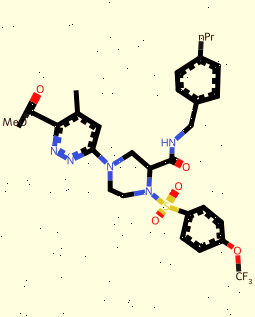 CCCc1ccc(CNC(=O)C2CN(c3cc(C)c(C(=O)OC)nn3)CCN2S(=O)(=O)c2ccc(OC(F)(F)F)cc2)cc1